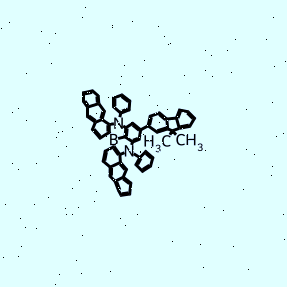 CC1(C)c2ccccc2-c2ccc(-c3cc4c5c(c3)N(c3ccccc3)c3c(ccc6cc7ccccc7cc36)B5c3ccc5cc6ccccc6cc5c3N4c3ccccc3)cc21